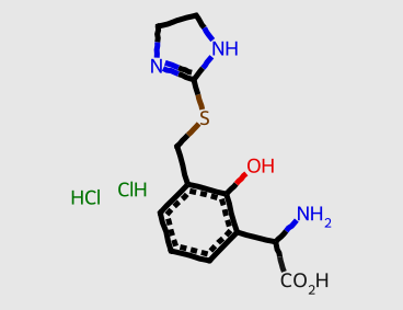 Cl.Cl.NC(C(=O)O)c1cccc(CSC2=NCCN2)c1O